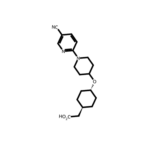 N#Cc1ccc(N2CCC(O[C@H]3CC[C@H](CC(=O)O)CC3)CC2)nc1